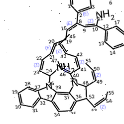 C=CC(=C\C=C/CC)/C(/C=C(\N)c1ccccc1)=C/C/C=C/C=C\C(N)n1c2ccccc2c2ccc3c(c21)N(C(/C=C\C=C/C)=C/C)C(/C=C\C)C3/C=C\C